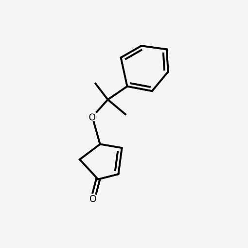 CC(C)(OC1C=CC(=O)C1)c1ccccc1